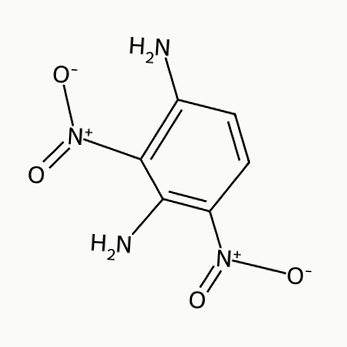 Nc1ccc([N+](=O)[O-])c(N)c1[N+](=O)[O-]